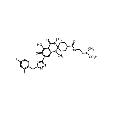 CN(CCNC(=O)C1CCC2(CC1)N(C)C(=O)c1c(O)c(=O)c(-c3nnc(Cc4ccc(F)cc4F)s3)cn1N2C)C(=O)O